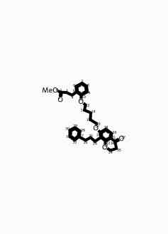 COC(=O)CCc1ccccc1OCCCCCOc1ccc2c(c1CCCc1ccccc1)OCCC2=O